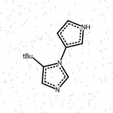 CC(C)(C)c1cncn1-c1cc[nH]c1